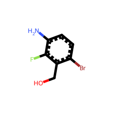 Nc1ccc(Br)c(CO)c1F